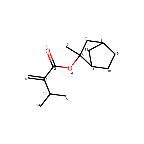 C=C(C(=O)OC1(C)CC2CCC1C2)C(C)C